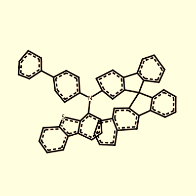 c1ccc(-c2ccc(N(c3ccc4c(c3)C3(c5ccccc5-4)c4ccccc4-c4cc5ccccc5cc43)c3cccc4c3sc3ccccc34)cc2)cc1